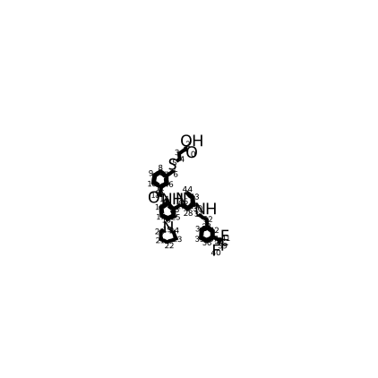 O=C(O)CCSCc1cccc(C(=O)Nc2ccc(N3CCCCC3)cc2-c2cc(NCCc3cccc(C(F)(F)F)c3)ccn2)c1